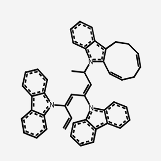 C=C/C(=C\C(=C/C(C)n1c2c(c3ccccc31)CC/C=C\C/C=C\2)n1c2ccccc2c2ccccc21)n1c2ccccc2c2ccccc21